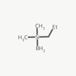 B[Si](C)(C)CCC